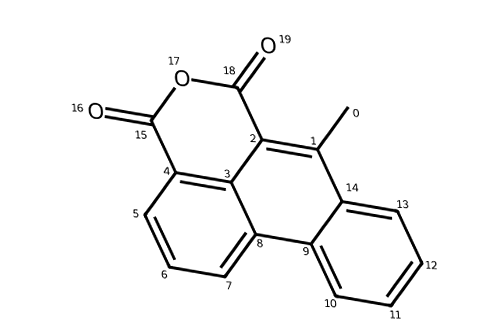 Cc1c2c3c(cccc3c3ccccc13)C(=O)OC2=O